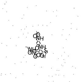 CCCNC(=O)c1ccc(-c2cc3c(cc2C(=O)Nc2ccc(CNC(=O)OC(C)(C)C)cc2C)-c2sccc2C[C@H](C)O3)c(C(=O)OC)n1